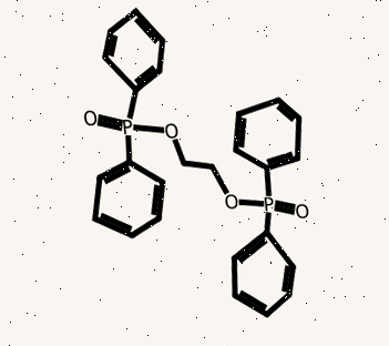 O=P(OCCOP(=O)(c1ccccc1)c1ccccc1)(c1ccccc1)c1ccccc1